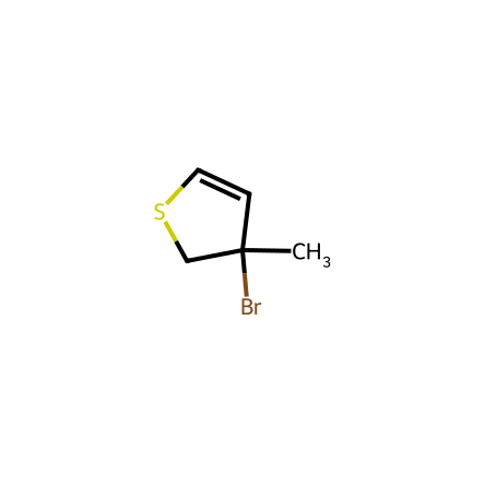 CC1(Br)C=CSC1